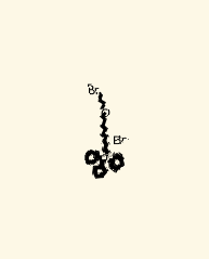 BrCCCCOCCCCCCCCCC[P+](c1ccccc1)(c1ccccc1)c1ccccc1.[Br-]